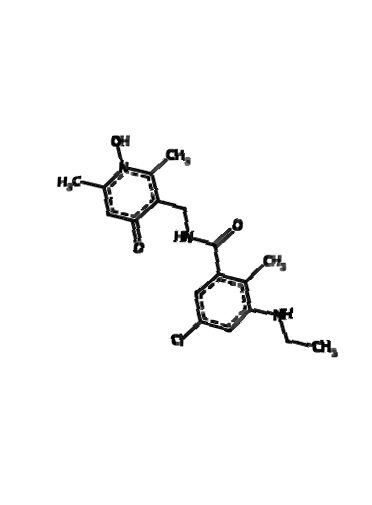 CCNc1cc(Cl)cc(C(=O)NCc2c(C)n(O)c(C)cc2=O)c1C